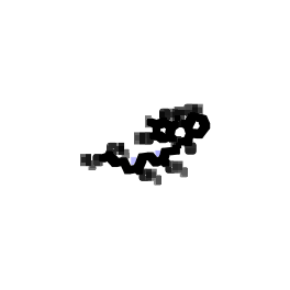 CC(C)=CCC/C(C)=C/CC/C(C)=C/CN1C(=O)c2cccc(O)c2Nc2c1cc(O)c(I)c2O